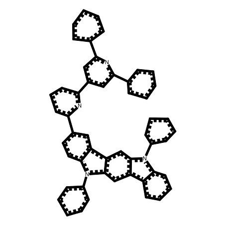 c1ccc(-c2cc(-c3cccc(-c4ccc5c(c4)c4cc6c(cc4n5-c4ccccc4)c4ccccc4n6-c4ccccc4)n3)cc(-c3ccccc3)n2)cc1